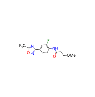 COCCC(=O)Nc1ccc(-c2noc(C(F)(F)F)n2)cc1F